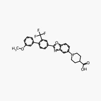 COc1cccc(-c2ccc(-c3nc4cc(N5CCC(C(=O)O)CC5)ccc4o3)cc2C(F)(F)F)c1